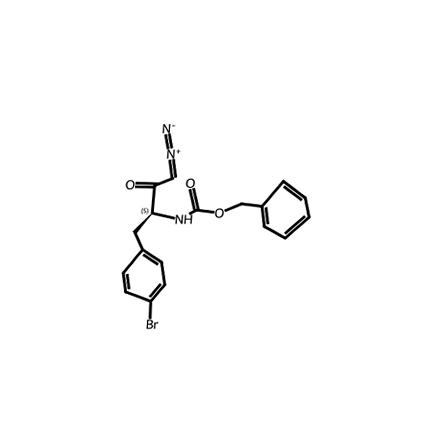 [N-]=[N+]=CC(=O)[C@H](Cc1ccc(Br)cc1)NC(=O)OCc1ccccc1